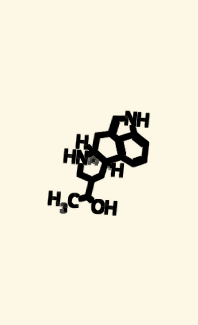 CC(O)C1CN[C@@H]2Cc3c[nH]c4cccc(c34)[C@H]2C1